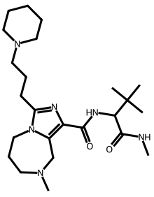 CNC(=O)C(NC(=O)c1nc(CCCN2CCCCC2)n2c1CN(C)CCC2)C(C)(C)C